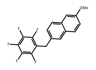 COc1ccc2cc(Cc3c(F)c(F)c(F)c(F)c3F)ccc2c1